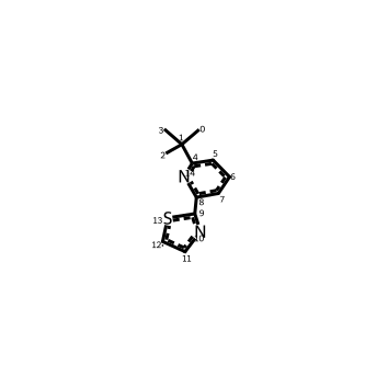 CC(C)(C)c1cccc(-c2nc[c]s2)n1